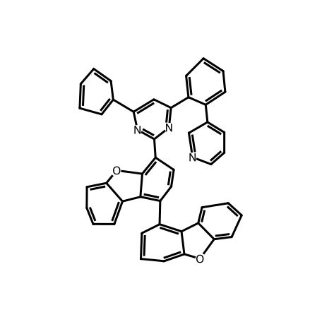 c1ccc(-c2cc(-c3ccccc3-c3cccnc3)nc(-c3ccc(-c4cccc5oc6ccccc6c45)c4c3oc3ccccc34)n2)cc1